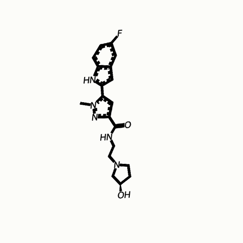 Cn1nc(C(=O)NCCN2CC[C@@H](O)C2)cc1-c1cc2cc(F)ccc2[nH]1